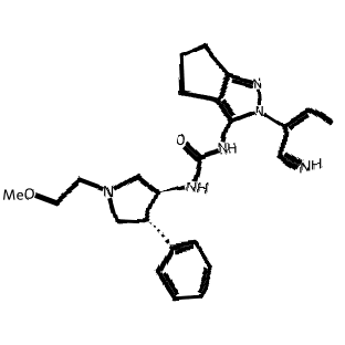 C/C=C(\C=N)n1nc2c(c1NC(=O)N[C@@H]1CN(CCOC)C[C@H]1c1ccccc1)CCC2